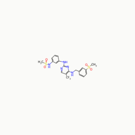 CS(=O)(=O)Nc1cccc(Nc2ncc(C(F)(F)F)c(NCc3cccc(S(C)(=O)=O)c3)n2)c1